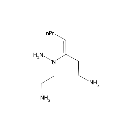 CCCC=C(CCN)N(N)CCN